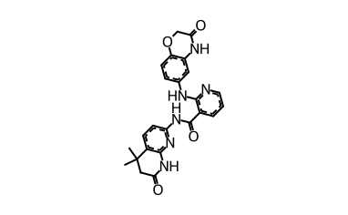 CC1(C)CC(=O)Nc2nc(NC(=O)c3cccnc3Nc3ccc4c(c3)NC(=O)CO4)ccc21